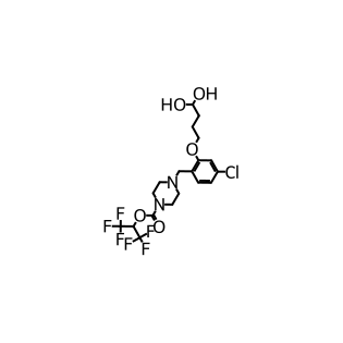 O=C(OC(C(F)(F)F)C(F)(F)F)N1CCN(Cc2ccc(Cl)cc2OCCCC(O)O)CC1